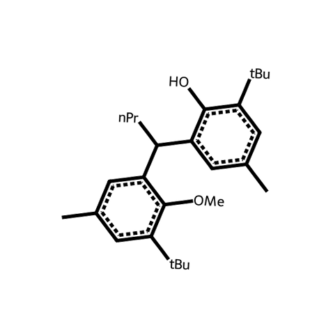 CCCC(c1cc(C)cc(C(C)(C)C)c1O)c1cc(C)cc(C(C)(C)C)c1OC